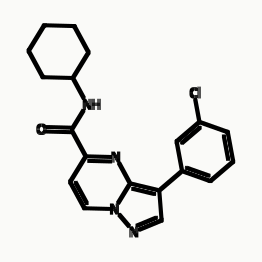 O=C(NC1CCCCC1)c1ccn2ncc(-c3cccc(Cl)c3)c2n1